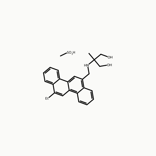 CCc1cc2c3ccccc3c(CNC(C)(CO)CO)cc2c2ccccc12.CS(=O)(=O)O